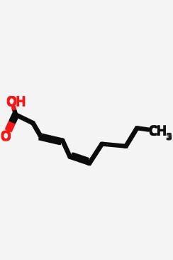 CCCC/C=C\C=C\CC(=O)O